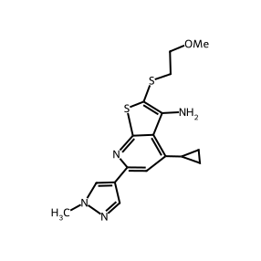 COCCSc1sc2nc(-c3cnn(C)c3)cc(C3CC3)c2c1N